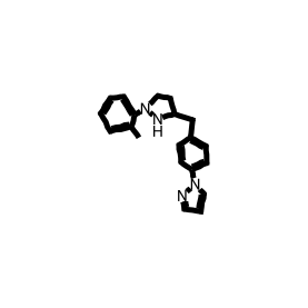 Cc1ccccc1N1CCC(Cc2ccc(-n3cccn3)cc2)N1